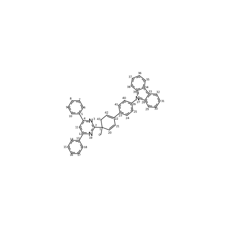 CC1(c2nc(-c3ccccc3)cc(-c3ccccc3)n2)C=CC(c2ccc(-n3c4ccccc4c4ccccc43)cc2)=CC1